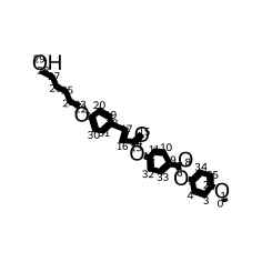 COc1ccc(OC(=O)c2ccc(OC(=O)/C=C/c3ccc(OCCCCCCO)cc3)cc2)cc1